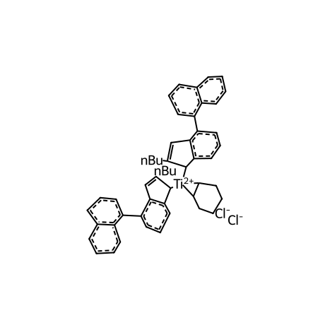 CCCCC1=Cc2c(-c3cccc4ccccc34)cccc2[CH]1[Ti+2]1([CH]2C(CCCC)=Cc3c(-c4cccc5ccccc45)cccc32)[CH]2CCCC[CH]21.[Cl-].[Cl-]